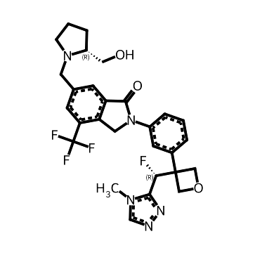 Cn1cnnc1[C@H](F)C1(c2cccc(N3Cc4c(cc(CN5CCC[C@@H]5CO)cc4C(F)(F)F)C3=O)c2)COC1